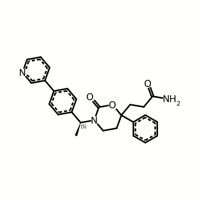 C[C@@H](c1ccc(-c2cccnc2)cc1)N1CCC(CCC(N)=O)(c2ccccc2)OC1=O